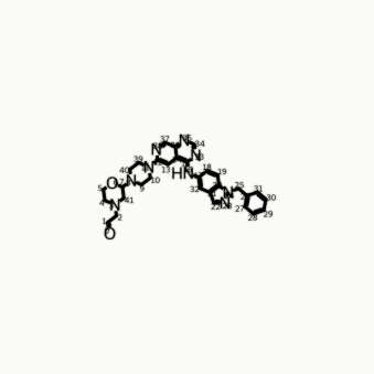 O=CCN1CCOC(N2CCN(c3cc4c(Nc5ccc6c(cnn6Cc6ccccc6)c5)ncnc4cn3)CC2)C1